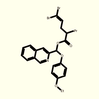 CCOc1ccc(OC(OC(=O)C(CC=C(Br)Br)C(C)C)c2cc3ccccc3cn2)cc1